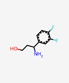 NC(CCO)c1ccc(F)c(F)c1